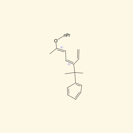 C=C/C(=C\C=C(/C)OCCC)C(C)(C)c1ccccc1